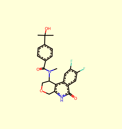 CN(C(=O)c1ccc(C(C)(C)O)cc1)C1COCc2[nH]c(=O)c3cc(F)c(F)cc3c21